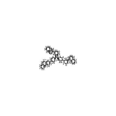 c1cc(-c2ccc(N(c3ccc(-c4ccc5c(ccc6ccccc65)c4)cc3)c3cccc(-c4cc5ccccc5o4)c3)cc2)cc(-c2cccc3ccccc23)c1